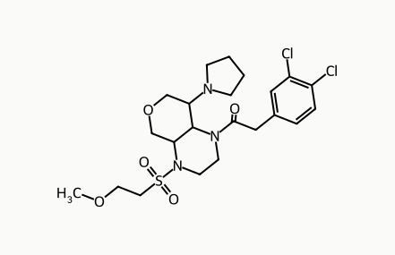 COCCS(=O)(=O)N1CCN(C(=O)Cc2ccc(Cl)c(Cl)c2)C2C(N3CCCC3)COCC21